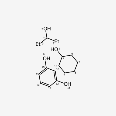 CCC(O)CC.OC1CCCCC1.Oc1cccc(O)c1